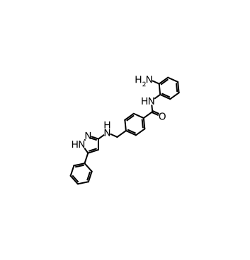 Nc1ccccc1NC(=O)c1ccc(CNc2cc(-c3ccccc3)[nH]n2)cc1